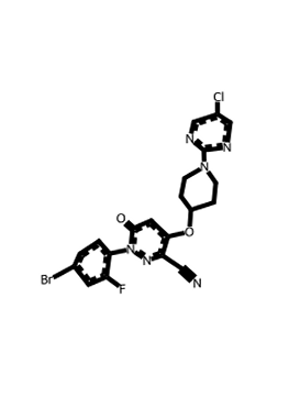 N#Cc1nn(-c2ccc(Br)cc2F)c(=O)cc1OC1CCN(c2ncc(Cl)cn2)CC1